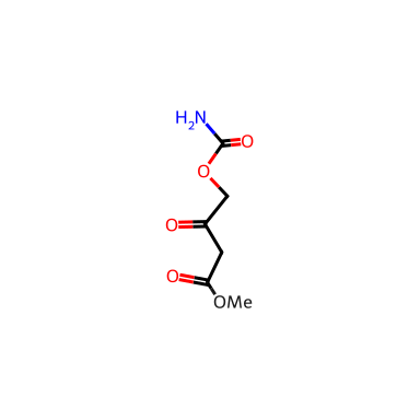 COC(=O)CC(=O)COC(N)=O